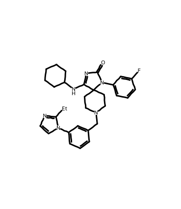 CCc1nccn1-c1cccc(CN2CCC3(CC2)C(NC2CCCCC2)=NC(=O)N3c2cccc(F)c2)c1